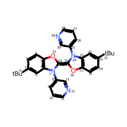 CC(C)(C)c1ccc2c(c1)N(c1cccnc1)/C(=C1\Oc3ccc(C(C)(C)C)cc3N1c1cccnc1)O2